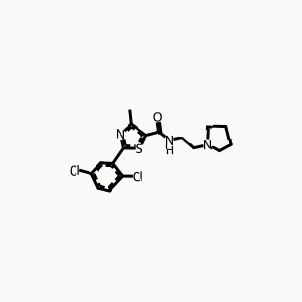 Cc1nc(-c2cc(Cl)ccc2Cl)sc1C(=O)NCCN1CCCC1